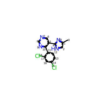 Cc1c[nH]c(-c2cncnc2-c2ccc(Cl)cc2Cl)n1